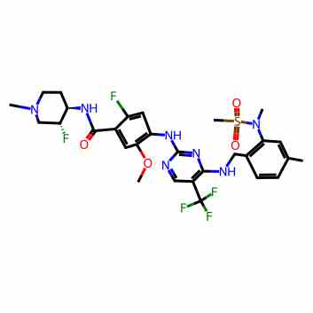 COc1cc(C(=O)N[C@@H]2CCN(C)C[C@H]2F)c(F)cc1Nc1ncc(C(F)(F)F)c(NCc2ccc(C)cc2N(C)S(C)(=O)=O)n1